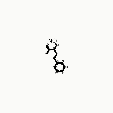 C=C(C)C(CC#N)CCc1ccccc1